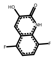 O=c1[nH]c2c(F)ccc(F)c2cc1O